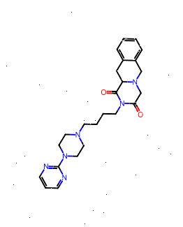 O=C1CN2Cc3ccccc3CC2C(=O)N1CCCCN1CCN(c2ncccn2)CC1